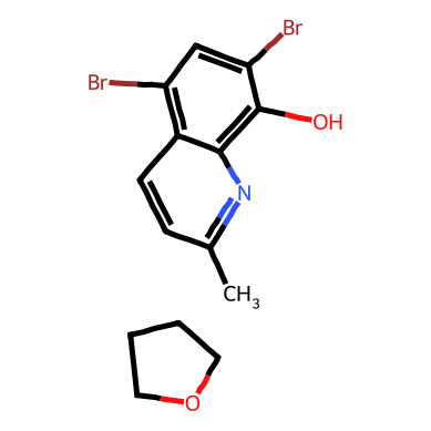 C1CCOC1.Cc1ccc2c(Br)cc(Br)c(O)c2n1